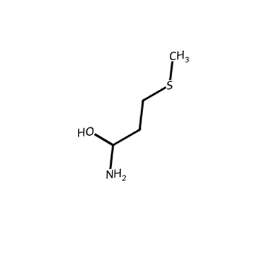 CSCCC(N)O